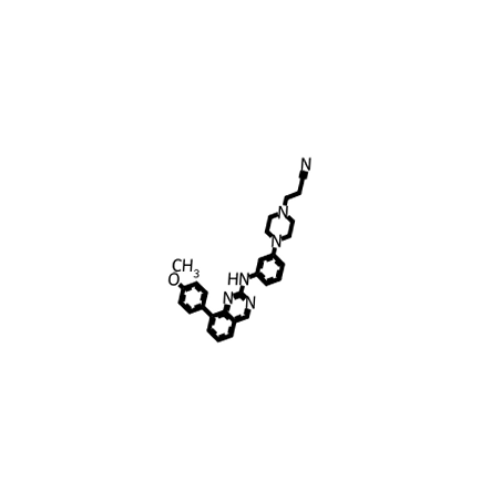 COc1ccc(-c2cccc3cnc(Nc4cccc(N5CCN(CCC#N)CC5)c4)nc23)cc1